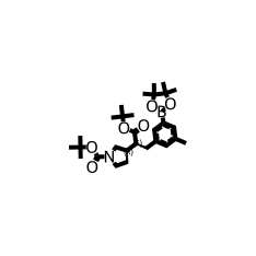 Cc1cc(C[C@H](C(=O)OC(C)(C)C)[C@H]2CCN(C(=O)OC(C)(C)C)C2)cc(B2OC(C)(C)C(C)(C)O2)c1